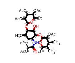 CCC[C@H](OC(C)=O)C(=O)NC1CC(C)C(OC2OC(CC)C(OC(C)=O)C(OC(C)=O)C2OC(C)=O)C(O)C1OC1OC(CC)C(C)C(C)C1OC(C)=O